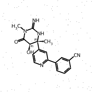 CN1C(=N)N[C@](C)(c2ccnc(-c3cccc(C#N)c3)c2)[C@@H](O)C1=O